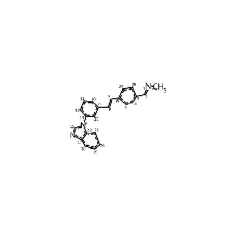 C/N=C/c1ccc(/C=C/c2cccc(-n3cnc4ccccc43)c2)cc1